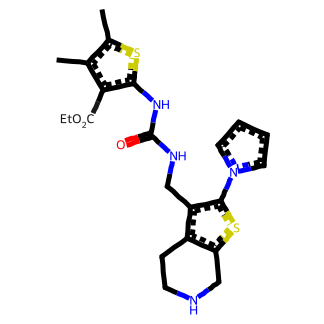 CCOC(=O)c1c(NC(=O)NCc2c(-n3cccc3)sc3c2CCNC3)sc(C)c1C